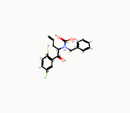 C=CCC(C(=O)c1cc(F)ccc1F)N(Cc1ccccc1)C(=O)O